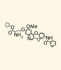 COc1cc2c(Oc3ccc(NC(=O)c4ccccc4)cc3)c(C3CC3)cnc2cc1OCCC(N)C(=O)OC1CCCC1